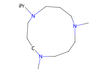 CC(C)N1CCCN(C)CCCN(C)CCC1